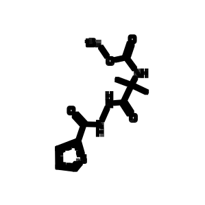 CC(C)(C)OC(=O)NC(C)(C)C(=O)NNC(=O)c1cccs1